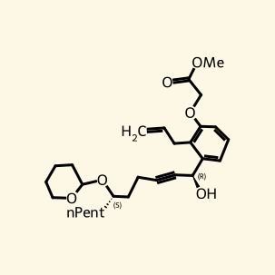 C=CCc1c(OCC(=O)OC)cccc1[C@@H](O)C#CCC[C@H](CCCCC)OC1CCCCO1